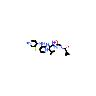 C=C(C)c1c(-c2noc(CNC(=O)C3CC3)n2)nc2c(N[C@@H]3CCN(C)C[C@@H]3F)cccn12